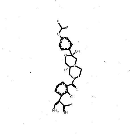 N=C(F)/C(=C\N)c1cccc(C(=O)N2CCN3C[C@@](O)(c4ccc(OC(F)F)cc4)OC[C@@H]3C2)c1Cl